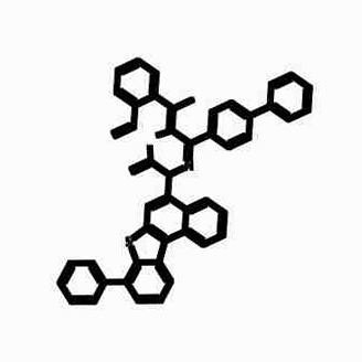 C=Cc1ccccc1/C(C)=C(C)/C(=N\C(C(=C)C)c1cc2sc3c(-c4ccccc4)cccc3c2c2ccccc12)c1ccc(-c2ccccc2)cc1